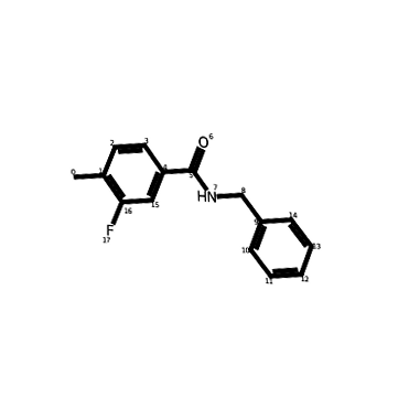 Cc1ccc(C(=O)NCc2ccccc2)cc1F